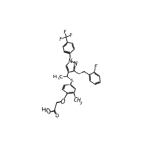 Cc1cc(SC(C)c2cn(-c3ccc(C(F)(F)F)cc3)nc2CCc2ccccc2F)ccc1OCC(=O)O